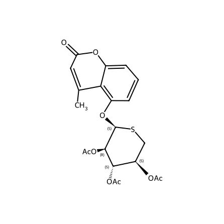 CC(=O)O[C@@H]1[C@@H](OC(C)=O)[C@@H](Oc2cccc3oc(=O)cc(C)c23)SC[C@H]1OC(C)=O